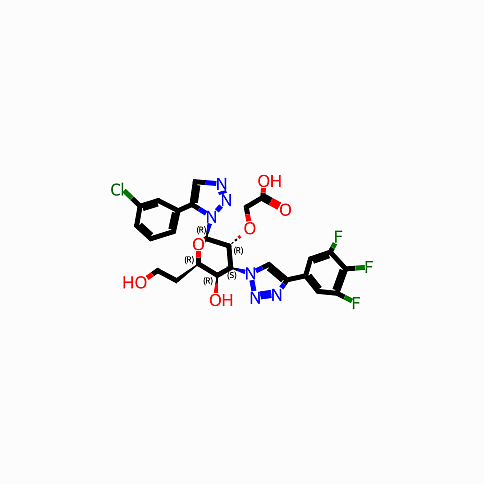 O=C(O)CO[C@@H]1[C@@H](n2cc(-c3cc(F)c(F)c(F)c3)nn2)[C@@H](O)[C@@H](CCO)O[C@H]1n1nncc1-c1cccc(Cl)c1